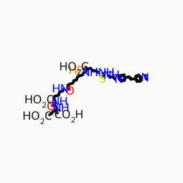 CN(C)c1ccc(/C=C/c2cc[n+](CCCNC(=S)NCCCCC(NC(=P)CCCCCCC(=O)NCCCC[C@H](NC(=O)NC(CCC(=O)O)C(=O)O)C(=O)O)C(=O)O)cc2)cc1